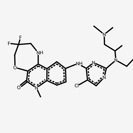 CCN(c1ncc(Cl)c(Nc2ccc3c(c2)c2c(c(=O)n3C)OCC(F)(F)CN2)n1)C(C)CN(C)C